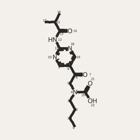 CCCCN(CC(=O)c1cnc(NC(=O)C(C)C)nc1)C(=O)O